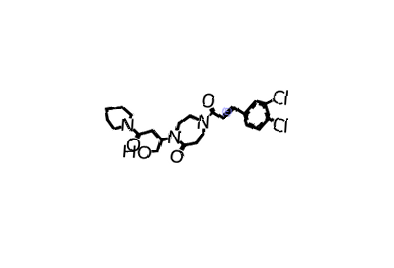 O=C(/C=C/c1ccc(Cl)c(Cl)c1)N1CCC(=O)N(C(CO)CC(=O)N2CCCCC2)CC1